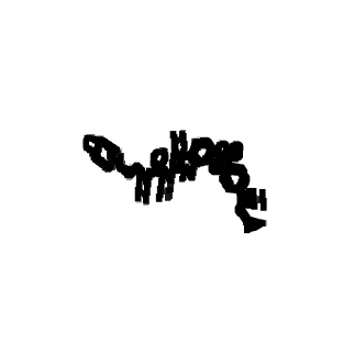 O=C(NCCN1CCOCC1)Nc1nc2cc(OS(=O)(=O)c3ccc(NCC4CC4)cc3)ccc2[nH]1